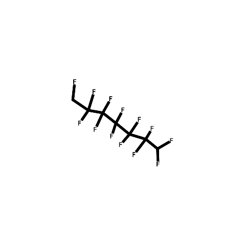 FCC(F)(F)C(F)(F)C(F)(F)C(F)(F)C(F)(F)C(F)F